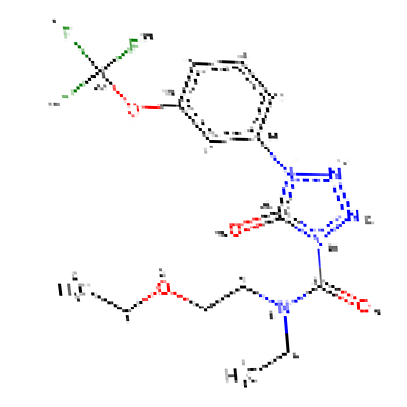 CCOCCN(CC)C(=O)n1nnn(-c2cccc(OC(F)(F)F)c2)c1=O